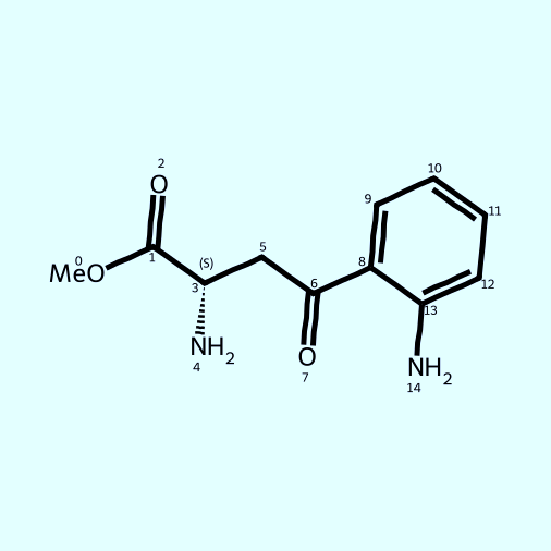 COC(=O)[C@@H](N)CC(=O)c1ccccc1N